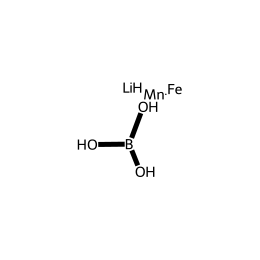 OB(O)O.[Fe].[LiH].[Mn]